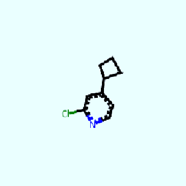 Clc1cc(C2[CH]CC2)ccn1